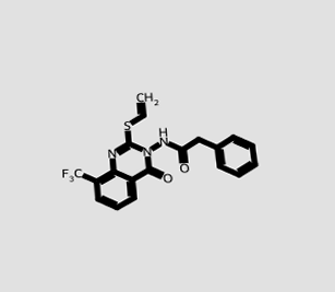 C=CSc1nc2c(C(F)(F)F)cccc2c(=O)n1NC(=O)Cc1ccccc1